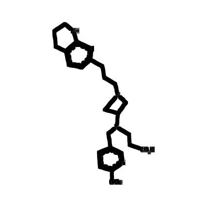 COc1ccc(CN(CCC(=O)O)C2CN(CCCc3ccc4c(n3)NCCC4)C2)cn1